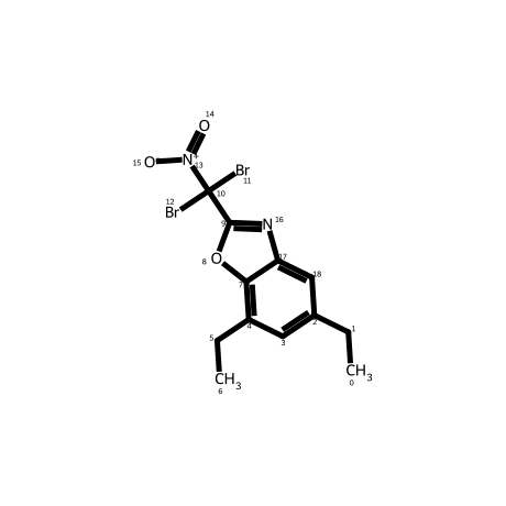 CCc1cc(CC)c2oc(C(Br)(Br)[N+](=O)[O-])nc2c1